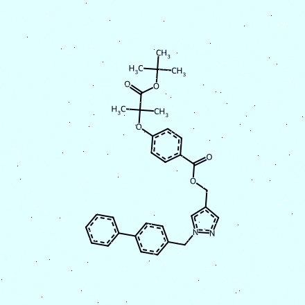 CC(C)(C)OC(=O)C(C)(C)Oc1ccc(C(=O)OCc2cnn(Cc3ccc(-c4ccccc4)cc3)c2)cc1